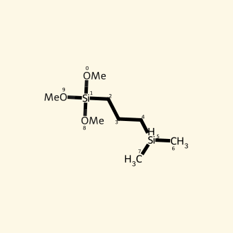 CO[Si](CCC[SiH](C)C)(OC)OC